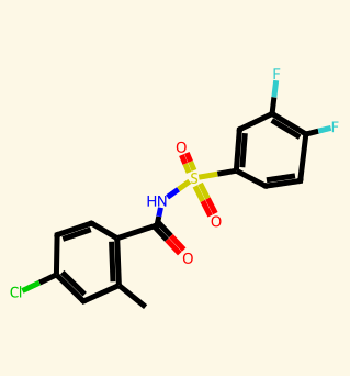 Cc1cc(Cl)ccc1C(=O)NS(=O)(=O)c1ccc(F)c(F)c1